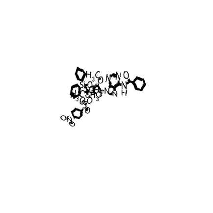 CO[C@@H]1[C@H](O[Si](c2ccccc2)(c2ccccc2)C(C)(C)C)[C@@H](COS(=O)(=O)c2ccc([N+](=O)[O-])cc2)O[C@H]1n1cnc2c(NC(=O)c3ccccc3)ncnc21